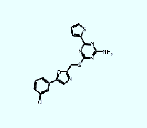 Nc1nc(SCc2ncc(-c3cccc(Cl)c3)o2)nc(-c2cccs2)n1